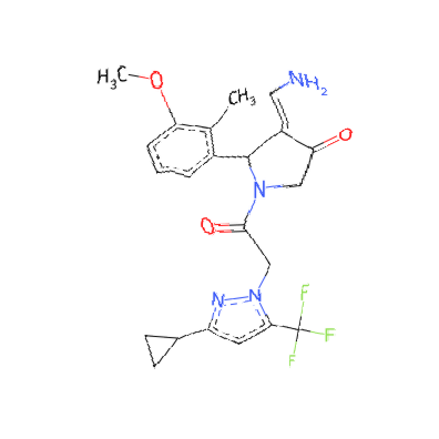 COc1cccc(C2C(=CN)C(=O)CN2C(=O)Cn2nc(C3CC3)cc2C(F)(F)F)c1C